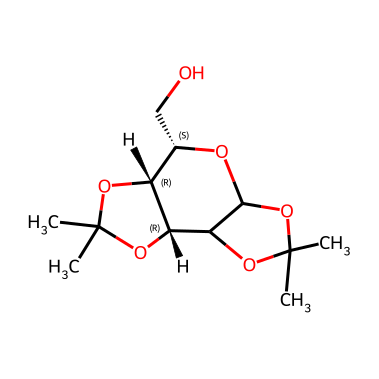 CC1(C)OC2O[C@@H](CO)[C@H]3OC(C)(C)O[C@H]3C2O1